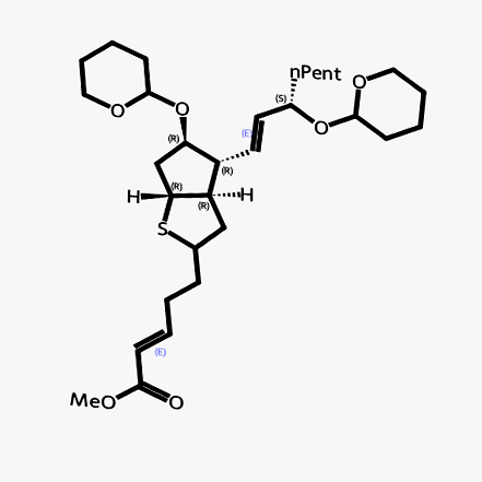 CCCCC[C@@H](/C=C/[C@@H]1[C@H]2CC(CC/C=C/C(=O)OC)S[C@@H]2C[C@H]1OC1CCCCO1)OC1CCCCO1